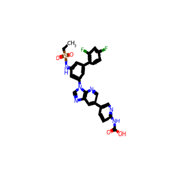 CCS(=O)(=O)Nc1cc(-c2ccc(F)cc2F)cc(-n2cnc3cc(-c4ccc(NC(=O)O)nc4)cnc32)c1